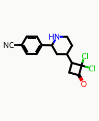 N#Cc1ccc(C2CC(C3CC(=O)C3(Cl)Cl)CCN2)cc1